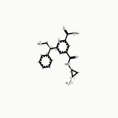 CNC(=O)c1cc(C(=O)N[C@H]2C[C@@H]2C)cc([C@H](CC#N)c2ccccc2)n1